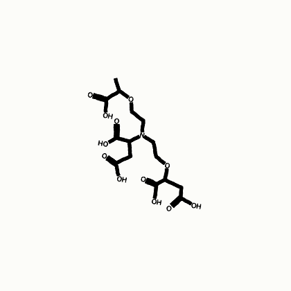 CC(OCCN(CCOC(CC(=O)O)C(=O)O)C(CC(=O)O)C(=O)O)C(=O)O